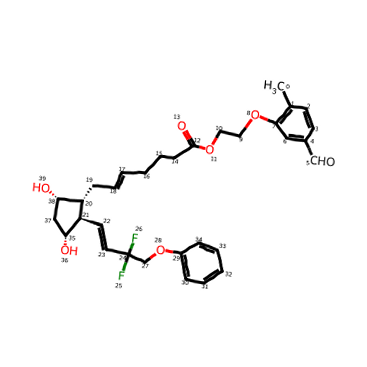 Cc1ccc(C=O)cc1OCCOC(=O)CCCC=CC[C@@H]1[C@@H](C=CC(F)(F)COc2ccccc2)[C@H](O)C[C@@H]1O